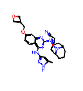 Cc1cc(Nc2nc(NC3CC4CCCC(C3)N4CCC#N)nc3cc(OCC4COC4)ccc23)n[nH]1